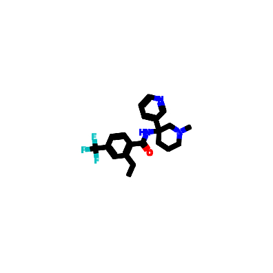 CCc1cc(C(F)(F)F)ccc1C(=O)NC1(c2cccnc2)CCCN(C)C1